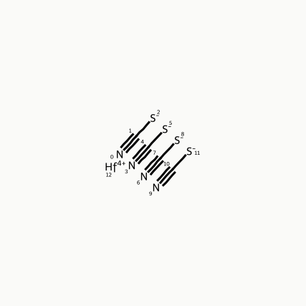 N#C[S-].N#C[S-].N#C[S-].N#C[S-].[Hf+4]